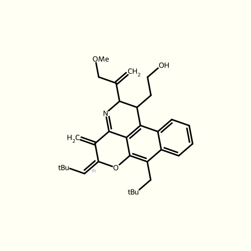 C=C1C2=NC(C(=C)COC)C(CCO)c3c2c(c(CC(C)(C)C)c2ccccc32)O/C1=C/C(C)(C)C